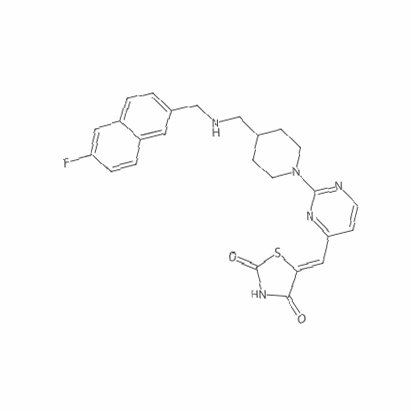 O=C1NC(=O)C(=Cc2ccnc(N3CCC(CNCc4ccc5cc(F)ccc5c4)CC3)n2)S1